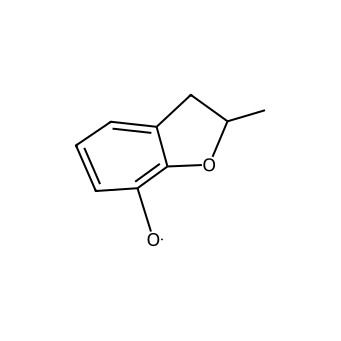 CC1Cc2cccc([O])c2O1